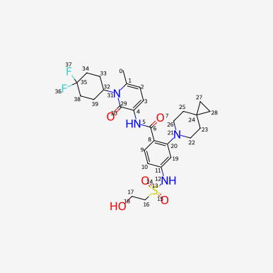 Cc1ccc(NC(=O)c2ccc(NS(=O)(=O)CCO)cc2N2CCC3(CC2)CC3)c(=O)n1C1CCC(F)(F)CC1